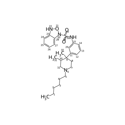 CCCCCCN1CCC(C)(c2cccc(NS(=O)(=O)N3ONc4ccccc43)c2)C(C)C1